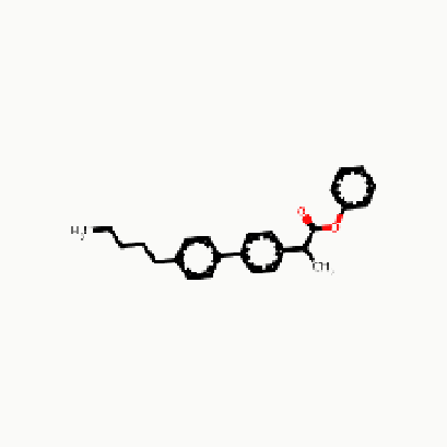 CCCCCc1ccc(-c2ccc(C(C)C(=O)Oc3ccccc3)cc2)cc1